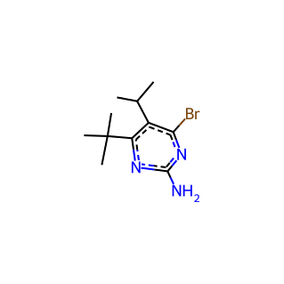 CC(C)c1c(Br)nc(N)nc1C(C)(C)C